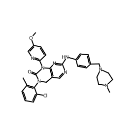 COc1ccc(N2C(=O)N(c3c(C)cccc3Cl)Cc3cnc(Nc4ccc(CN5CCN(C)CC5)cc4)nc32)nc1